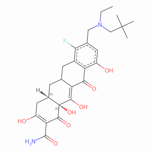 CCN(Cc1cc(O)c2c(c1F)CC1C[C@H]3CC(O)=C(C(N)=O)C(=O)[C@@]3(O)C(O)=C1C2=O)CC(C)(C)C